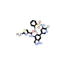 Cc1nc(C(=O)Nc2cc(-c3cnc(Cl)c(NS(=O)(=O)c4ccccc4C)c3)cc3[nH]ncc23)cs1